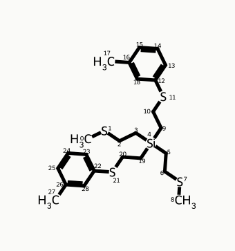 CSCC[Si](CCSC)(CCSc1cccc(C)c1)CCSc1cccc(C)c1